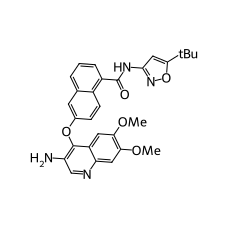 COc1cc2ncc(N)c(Oc3ccc4c(C(=O)Nc5cc(C(C)(C)C)on5)cccc4c3)c2cc1OC